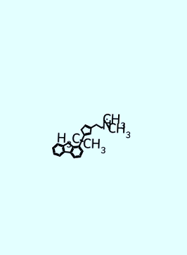 CN(C)CCC1=CCC(C(C)(C)c2cccc3c2Cc2ccccc2-3)=C1